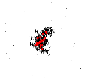 CC(C)C[C@H](NC(=O)[C@H](Cc1c[nH]c2ccccc12)NC(=O)[C@H](Cc1ccc(O)cc1)NC(=O)[C@H](CS)NC(=O)[C@H](Cc1ccc(O)cc1)NC(=O)[C@H](CC(=O)O)NC(=O)[C@H](CC(N)=O)NC(=O)[C@@H](N)CCCNC(=N)N)C(=O)N[C@@H](CS)C(=O)N[C@H](C(=O)O)[C@@H](C)O